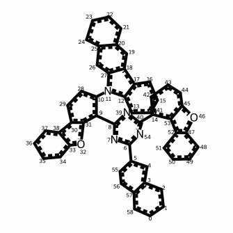 c1ccc2cc(-c3nc(-c4c(-n5c6ccccc6c6cc7ccccc7cc65)ccc5c4oc4ccccc45)nc(-c4cccc5oc6ccccc6c45)n3)ccc2c1